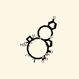 C[C@H]1C[C@H](C)CS(=O)(=O)NC(=O)c2ccc3c(c2)N(CCCCc2cc(Cl)ccc2CO3)C[C@@H]2CC[C@H]2[C@@H](O)C1